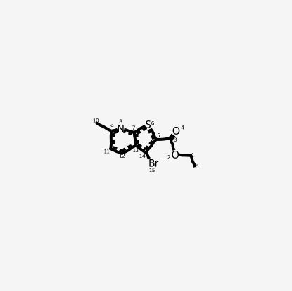 CCOC(=O)c1sc2nc(C)ccc2c1Br